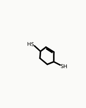 SC1C=CC(S)CC1